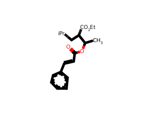 CCOC(=O)C(CC(C)C)C(C)OC(=O)/C=C/c1ccccc1